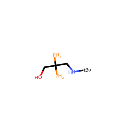 CC(C)(C)NCC(P)(P)CO